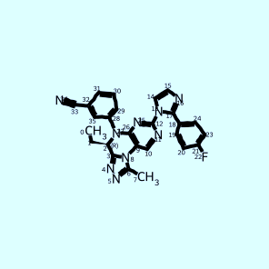 CC[C@@H]1c2nnc(C)n2-c2cnc(-n3ccnc3-c3ccc(F)cc3)nc2N1c1cccc(C#N)c1